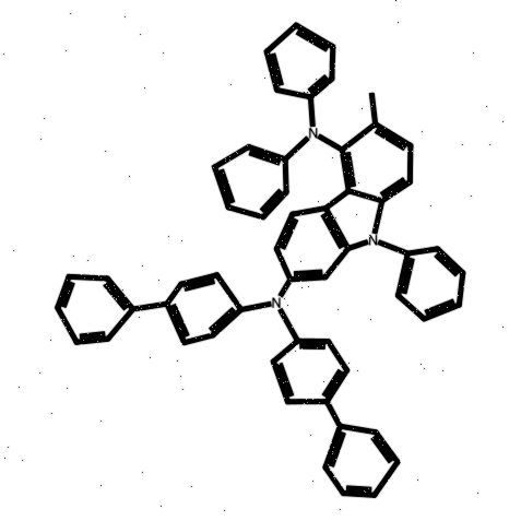 Cc1ccc2c(c1N(c1ccccc1)c1ccccc1)c1ccc(N(c3ccc(-c4ccccc4)cc3)c3ccc(-c4ccccc4)cc3)cc1n2-c1ccccc1